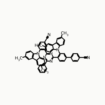 Cc1ccc2c(c1)c1cc(C)ccc1n2-c1ccc(C#N)cc1-c1nc(-c2ccccc2)nc(-c2ccc(-c3ccc(C#N)cc3)cc2-n2c3ccc(C)cc3c3cc(C)ccc32)n1